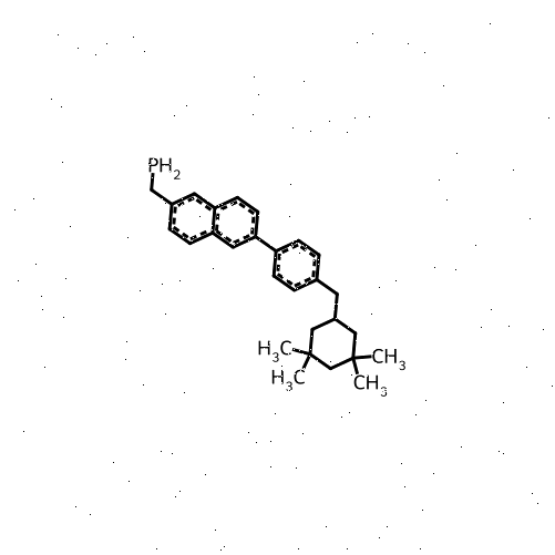 CC1(C)CC(Cc2ccc(-c3ccc4cc(CP)ccc4c3)cc2)CC(C)(C)C1